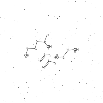 C=CC.C=CC.CC(O)CCCO.OCCO